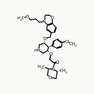 COCCCN1CCOc2ccc(CO[C@H]3CNC[C@@H](OCC(=O)N4C(C)COC[C@H]4C)[C@@H]3c3ccc(OC)cc3)cc21